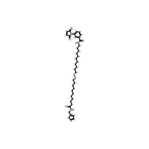 O=C(CCCCCCCCCCSSCCCCCCCCCCCNC(=O)c1cccc(N2C(=O)C=CC2=O)c1)NCC1=CC=CC1